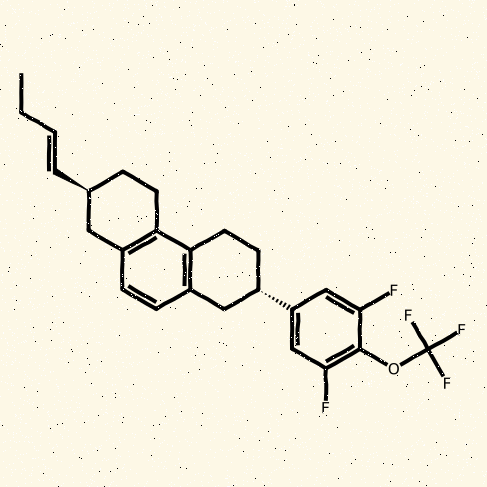 CCC=C[C@H]1CCc2c(ccc3c2CC[C@H](c2cc(F)c(OC(F)(F)F)c(F)c2)C3)C1